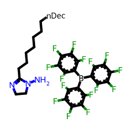 CCCCCCCCCCCCCCCCCC1=NCCN1N.Fc1c(F)c(F)c(B(c2c(F)c(F)c(F)c(F)c2F)c2c(F)c(F)c(F)c(F)c2F)c(F)c1F